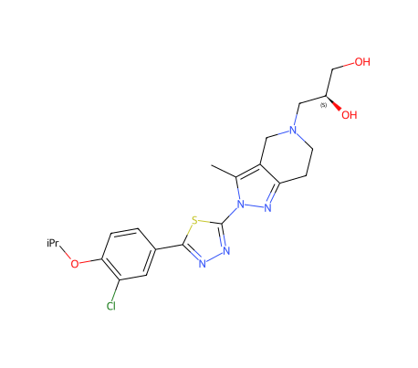 Cc1c2c(nn1-c1nnc(-c3ccc(OC(C)C)c(Cl)c3)s1)CCN(C[C@H](O)CO)C2